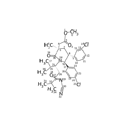 COC(=O)C[C@@]1(C)C[C@H](c2cccc(Cl)c2)[C@@H](c2ccc(Cl)cc2)N([C@H](CS(=O)(=NC#N)C(C)C)C(C)C)C1=O